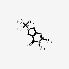 Cc1nc2c(c(=O)n1C)CN(C(C)(C)C)C2